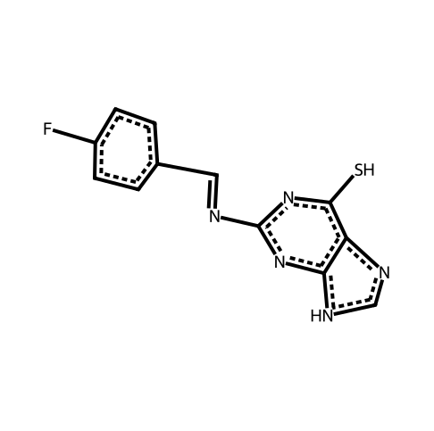 Fc1ccc(C=Nc2nc(S)c3nc[nH]c3n2)cc1